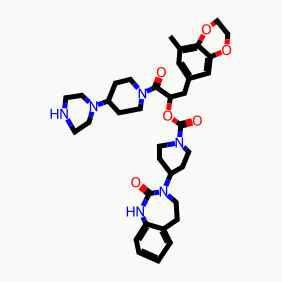 Cc1cc(CC(OC(=O)N2CCC(N3CCc4ccccc4NC3=O)CC2)C(=O)N2CCC(N3CCNCC3)CC2)cc2c1OCCO2